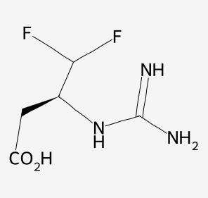 N=C(N)N[C@@H](CC(=O)O)C(F)F